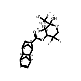 O=C(OC1C(F)(F)COC(O)(C(F)(F)F)C1(F)F)C1CC2CC1C1C3C=CC(C3)C21